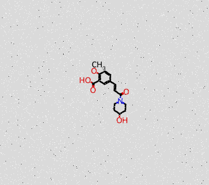 COc1ccc(C=CC(=O)N2CCC(O)CC2)cc1C(=O)O